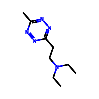 CCN(CC)CCc1nnc(C)nn1